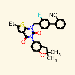 CCc1cc2c(=O)n(-c3ccc4c(c3)CC(C)(C)O4)c(=O)n(Cc3ccc(-c4ccccc4C#N)cc3F)c2s1